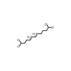 ClC(Cl)CCC[SiH2]C[SiH2]CCCC(Cl)Cl